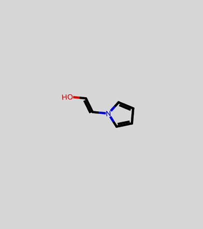 OC=Cn1cccc1